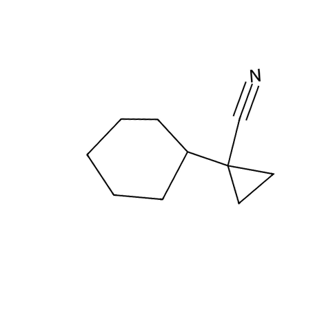 N#CC1(C2CCCCC2)CC1